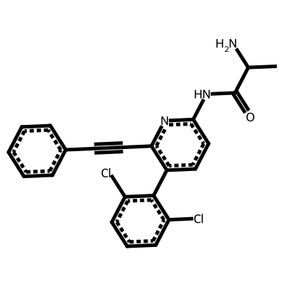 CC(N)C(=O)Nc1ccc(-c2c(Cl)cccc2Cl)c(C#Cc2ccccc2)n1